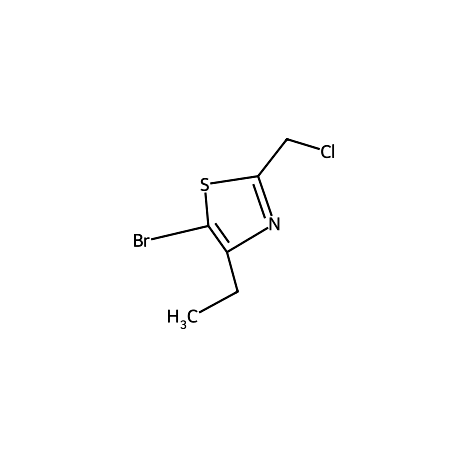 CCc1nc(CCl)sc1Br